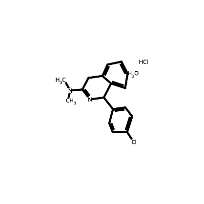 CN(C)C1=NC(c2ccc(Cl)cc2)c2ccccc2C1.Cl.O